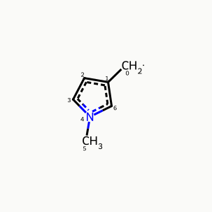 [CH2]c1ccn(C)c1